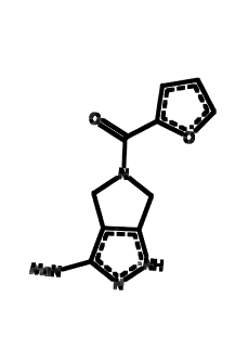 CNc1n[nH]c2c1CN(C(=O)c1ccco1)C2